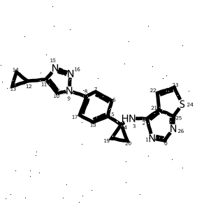 c1nc(NC2(c3ccc(-n4cc(C5CC5)nn4)cc3)CC2)c2ccsc2n1